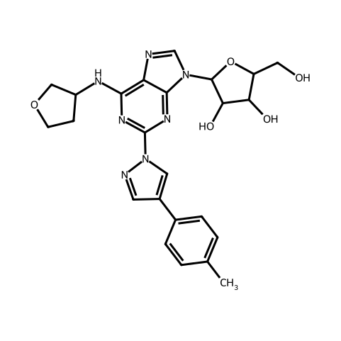 Cc1ccc(-c2cnn(-c3nc(NC4CCOC4)c4ncn(C5OC(CO)C(O)C5O)c4n3)c2)cc1